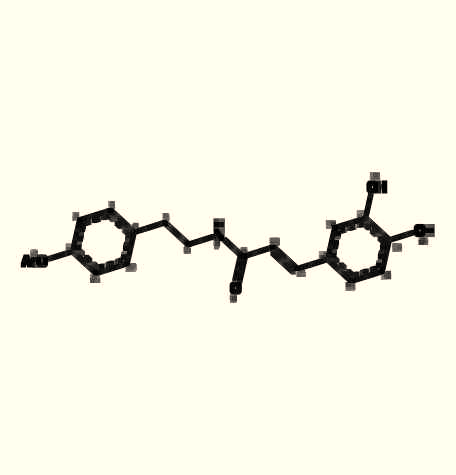 CC(=O)Oc1ccc(CCNC(=O)/C=C/c2ccc(O)c(O)c2)cc1